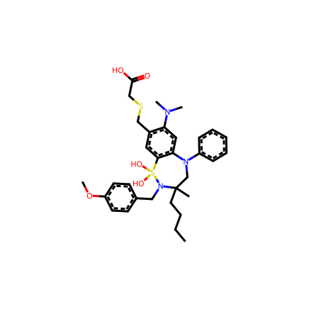 CCCCC1(C)CN(c2ccccc2)c2cc(N(C)C)c(CSCC(=O)O)cc2S(O)(O)N1Cc1ccc(OC)cc1